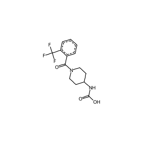 O=C(O)NC1CCN(C(=O)c2ccccc2C(F)(F)F)CC1